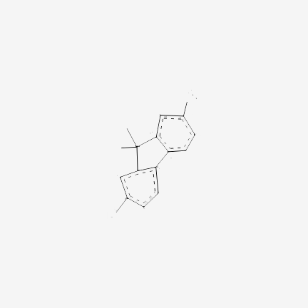 CC1(C)c2cc(Br)ccc2-c2ccc(C#N)cc21